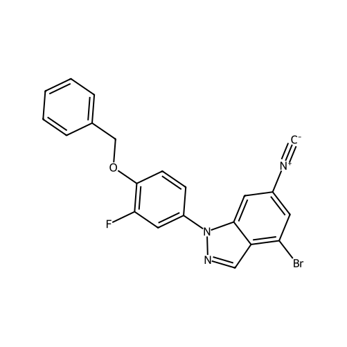 [C-]#[N+]c1cc(Br)c2cnn(-c3ccc(OCc4ccccc4)c(F)c3)c2c1